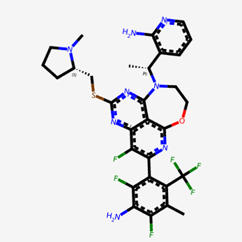 Cc1c(F)c(N)c(F)c(-c2nc3c4c(nc(SC[C@@H]5CCCN5C)nc4c2F)N([C@H](C)c2cccnc2N)CCO3)c1C(F)(F)F